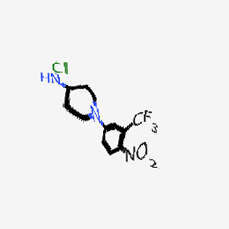 O=[N+]([O-])c1ccc(N2CCC(NCl)CC2)cc1C(F)(F)F